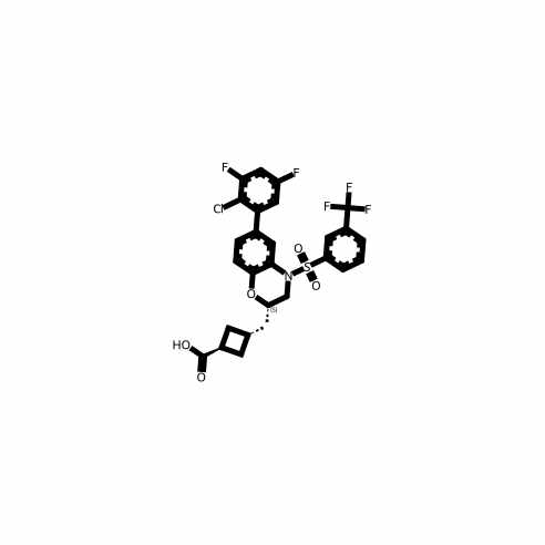 O=C(O)[C@H]1C[C@H](C[C@H]2CN(S(=O)(=O)c3cccc(C(F)(F)F)c3)c3cc(-c4cc(F)cc(F)c4Cl)ccc3O2)C1